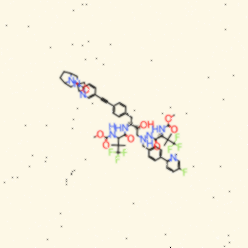 COC(=O)NC(C(=O)N[C@@H](Cc1ccc(C#Cc2ccc(N3CC4CCC(C3)N4C3COC3)nc2)cc1)[C@@H](O)CN(Cc1ccc(-c2ccc(F)cn2)cc1)NC(=O)[C@@H](NC(=O)OC)C(C)(C)C(F)(F)F)C(C)(C)C(F)(F)F